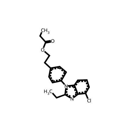 CCC(=O)OCCc1ccc(-n2c(CC)nc3c(Cl)cccc32)cc1